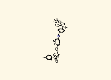 Cc1ccc(S(=O)(=O)OC(C)CCOc2ccc(/C=C/c3ccc(N(C)C(=O)OC(C)(C)C)cc3)cn2)cc1